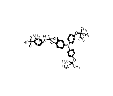 CC(C)(C)Oc1ccc([S+](c2ccc(OC(C)(C)C)cc2)c2ccc(OC(C)(C)C)cc2)cc1.Cc1ccccc1S(=O)(=O)O